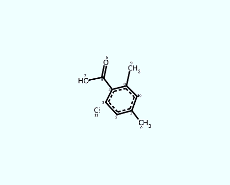 Cc1ccc(C(=O)O)c(C)c1.[C]